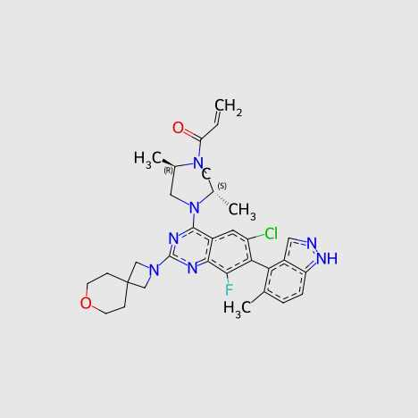 C=CC(=O)N1C[C@H](C)N(c2nc(N3CC4(CCOCC4)C3)nc3c(F)c(-c4c(C)ccc5[nH]ncc45)c(Cl)cc23)C[C@H]1C